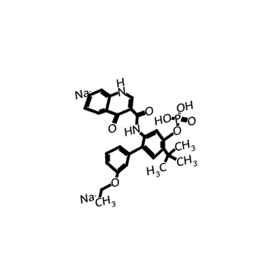 CCOc1cccc(-c2cc(C(C)(C)C)c(OP(=O)(O)O)cc2NC(=O)c2c[nH]c3ccccc3c2=O)c1.[Na].[Na]